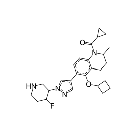 CC1CCc2c(ccc(-c3cnn(C4CNCCC4F)c3)c2OC2CCC2)N1C(=O)C1CC1